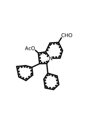 CC(=O)Oc1c(-c2ccccc2)c(-c2ccccc2)n2ccc(C=O)cc12